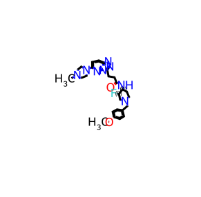 COc1ccc(CN2CC[C@@H](NC(=O)CCc3nnc4ccc(N5CCN(C)CC5)nn34)[C@H](F)C2)cc1